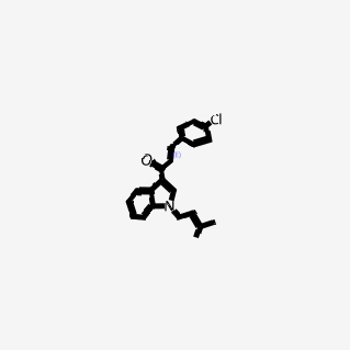 CC(C)=CCn1cc(C(=O)/C=C/c2ccc(Cl)cc2)c2ccccc21